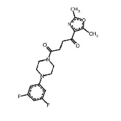 Cc1nc(C(=O)CCC(=O)N2CCN(c3cc(F)cc(F)c3)CC2)c(C)o1